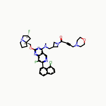 CN(CC1CN(C(=O)C#CCN2CCOCC2)C1)c1nc(OC[C@@]23CCCN2C[C@H](F)C3)nc2c(F)c(-c3cccc4cccc(Cl)c34)ncc12